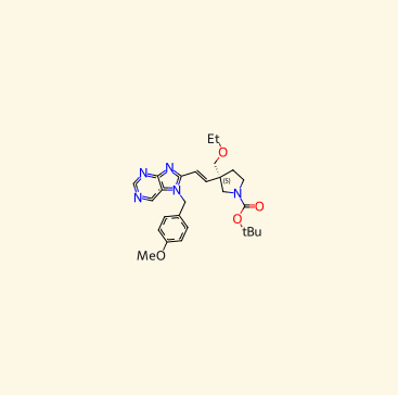 CCOC[C@]1(C=Cc2nc3ncncc3n2Cc2ccc(OC)cc2)CCN(C(=O)OC(C)(C)C)C1